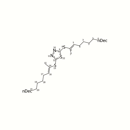 CCCCCCCCCCCCCC/C=C(\C)Sc1nnc(S/C(C)=C/CCCCCCCCCCCCCC)s1